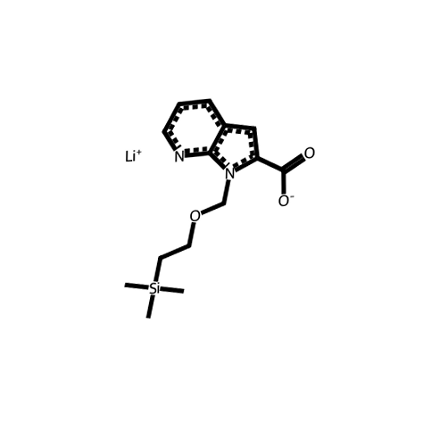 C[Si](C)(C)CCOCn1c(C(=O)[O-])cc2cccnc21.[Li+]